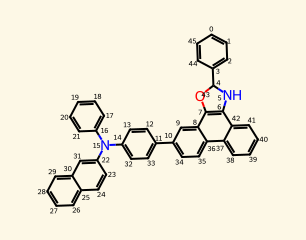 c1ccc(C2Nc3c(c4cc(-c5ccc(N(c6ccccc6)c6ccc7ccccc7c6)cc5)ccc4c4ccccc34)O2)cc1